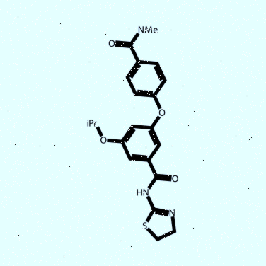 CNC(=O)c1ccc(Oc2cc(OC(C)C)cc(C(=O)NC3=NCCS3)c2)cc1